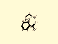 C[CH2][Hg+].[O-]C(=S)c1ccccc1O